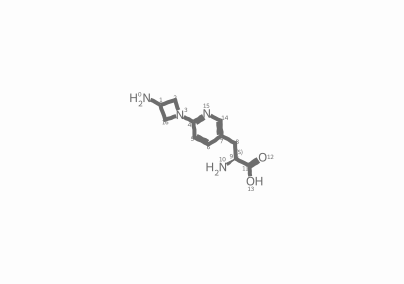 NC1CN(c2ccc(C[C@H](N)C(=O)O)cn2)C1